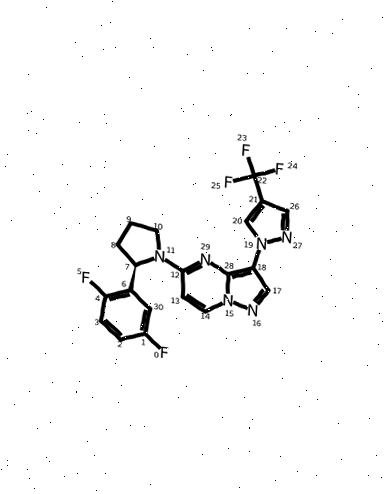 Fc1ccc(F)c([C@H]2CCCN2c2ccn3ncc(-n4cc(C(F)(F)F)cn4)c3n2)c1